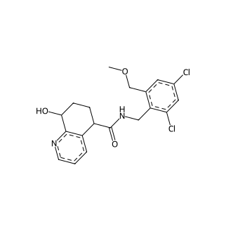 COCc1cc(Cl)cc(Cl)c1CNC(=O)C1CCC(O)c2ncccc21